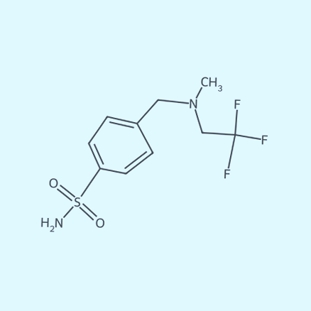 CN(Cc1ccc(S(N)(=O)=O)cc1)CC(F)(F)F